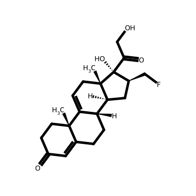 C[C@]12CCC(=O)C=C1CC[C@@H]1C2=CC[C@@]2(C)[C@H]1C[C@H](CF)[C@]2(O)C(=O)CO